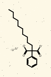 CCCCCCCCCCC(C(=O)[O-])(C(=O)[O-])c1ccccc1.[Li+].[Li+]